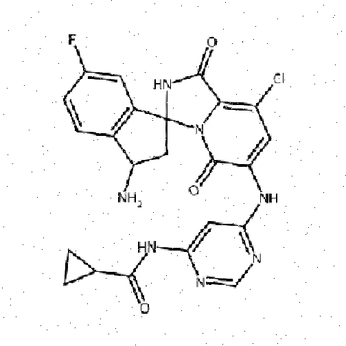 NC1CC2(NC(=O)c3c(Cl)cc(Nc4cc(NC(=O)C5CC5)ncn4)c(=O)n32)c2cc(F)ccc21